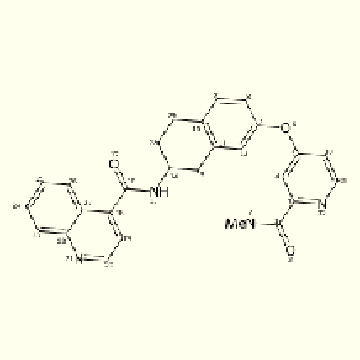 CNC(=O)c1cc(Oc2ccc3c(c2)CC(NC(=O)c2ccnc4ccccc24)CC3)ccn1